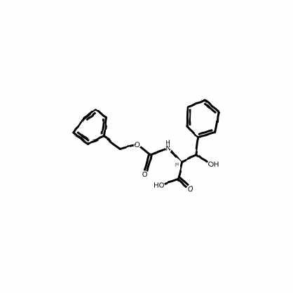 O=C(N[C@H](C(=O)O)C(O)c1ccccc1)OCc1ccccc1